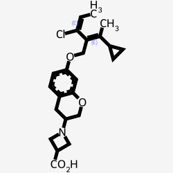 C/C=C(Cl)\C(COc1ccc2c(c1)OCC(N1CC(C(=O)O)C1)C2)=C(/C)C1CC1